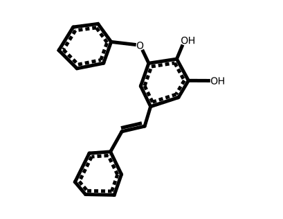 Oc1cc(/C=C/c2ccccc2)cc(Oc2ccccc2)c1O